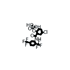 O=C(Nc1cc(C(F)(F)F)ccc1C(F)(F)F)c1cc(Cl)ccc1OP(=O)(O)O